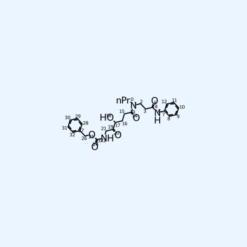 CCCN(CCC(=O)Nc1ccccc1)C(=O)CCC(O)C(=O)CNC(=O)OCc1ccccc1